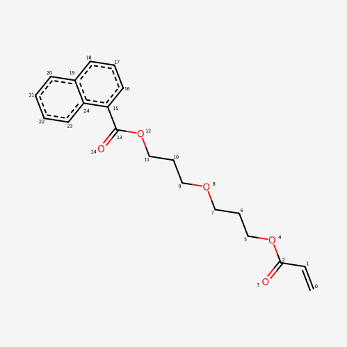 C=CC(=O)OCCCOCCCOC(=O)c1cccc2ccccc12